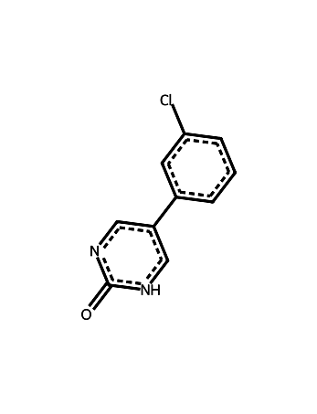 O=c1ncc(-c2cccc(Cl)c2)c[nH]1